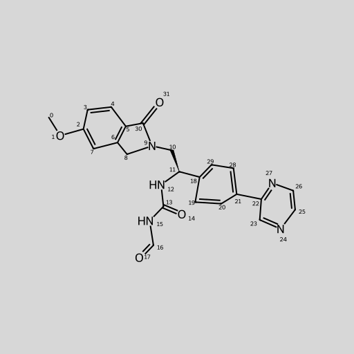 COc1ccc2c(c1)CN(C[C@H](NC(=O)NC=O)c1ccc(-c3cnccn3)cc1)C2=O